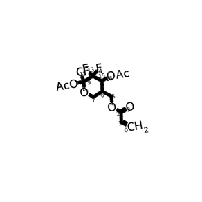 C=CC(=O)OCC1COC(OC(C)=O)(C(F)(F)F)C(F)(F)C1OC(C)=O